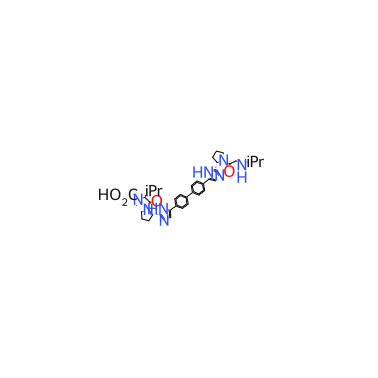 CC(C)NCC(=O)N1CCC[C@H]1c1ncc(-c2ccc(-c3ccc(-c4cnc([C@@H]5CCCN5C(=O)[C@H](C(C)C)N(C)C(=O)O)[nH]4)cc3)cc2)[nH]1